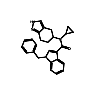 O=C(c1cn(Cc2ccccc2)c2ccccc12)N(C1CC1)C1CCc2n[nH]cc2C1